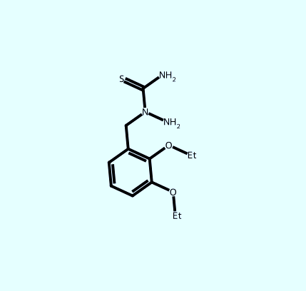 CCOc1cccc(CN(N)C(N)=S)c1OCC